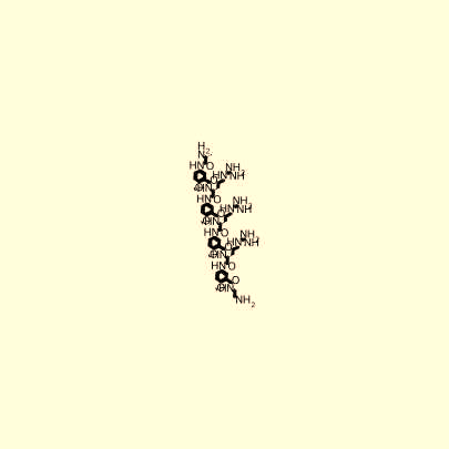 COc1ccc(NC(=O)[C@@H](CCCNC(=N)N)NC(=O)c2cc(NC(=O)[C@@H](CCCNC(=N)N)NC(=O)c3cc(NC(=O)[C@@H](CCCNC(=N)N)NC(=O)c4cc(NC(=O)[C@@H](C)N)ccc4OC)ccc3OC)ccc2OC)cc1C(=O)NCCN